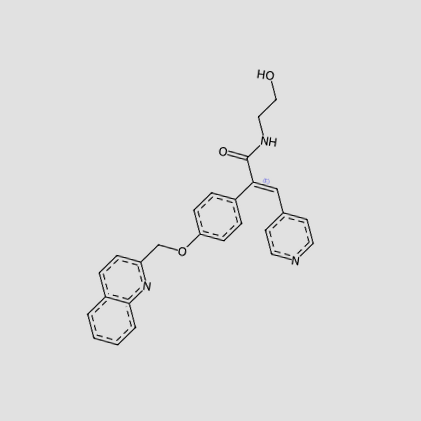 O=C(NCCO)/C(=C/c1ccncc1)c1ccc(OCc2ccc3ccccc3n2)cc1